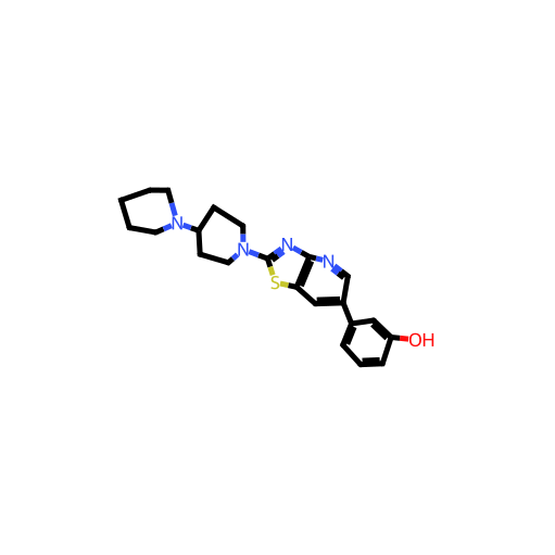 Oc1cccc(-c2cnc3nc(N4CCC(N5CCCCC5)CC4)sc3c2)c1